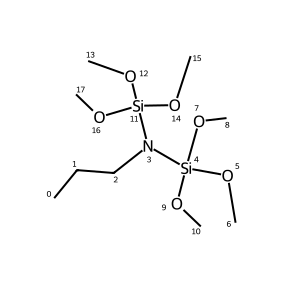 CCCN([Si](OC)(OC)OC)[Si](OC)(OC)OC